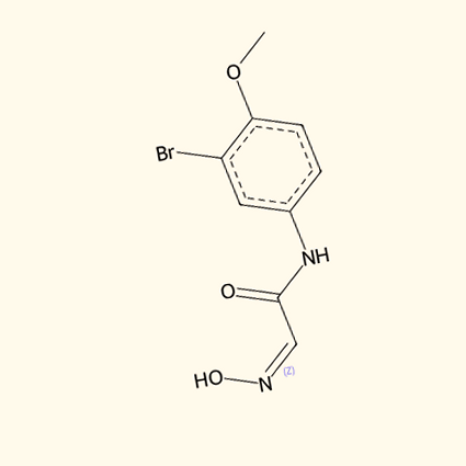 COc1ccc(NC(=O)/C=N\O)cc1Br